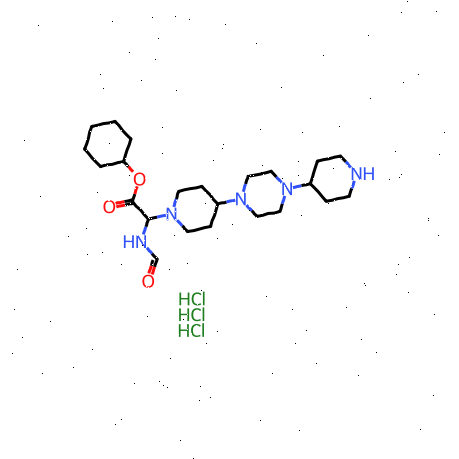 Cl.Cl.Cl.O=CNC(C(=O)OC1CCCCC1)N1CCC(N2CCN(C3CCNCC3)CC2)CC1